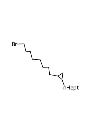 CCCCCCCC1CC1CCCCCCCCBr